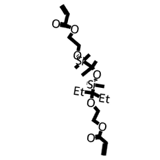 C=CC(=O)OCCOC(CC)(CC)[Si](C)(C)OC(C)(C)[Si](C)(C)OCCOC(=O)C=C